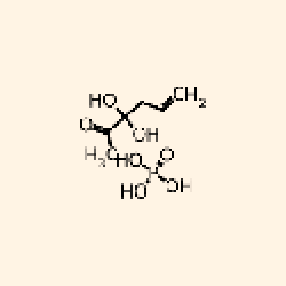 C=CCC(O)(O)C(C)=O.O=P(O)(O)O